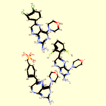 Nc1nc(N2CCOCC2)c2nc(-c3c(F)cccc3F)cnc2n1.Nc1nc(N2CCOCC2)c2nc(-c3ccc(CP(=O)(O)O)cc3)cnc2n1.Nc1nc(N2CCOCC2)c2nc(-c3ccc(Cl)c(Cl)c3)cnc2n1